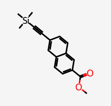 COC(=O)c1ccc2cc(C#C[Si](C)(C)C)ccc2c1